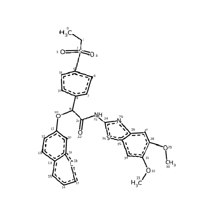 CCS(=O)(=O)c1ccc(C(Oc2ccc3ccccc3c2)C(=O)Nc2nc3cc(OC)c(OC)cc3s2)cc1